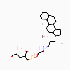 CC(CCNC(=O)CCP(=O)(O)CC(CCC(=O)O)C(=O)O)[C@H]1CCC2C3CCC4C[C@H](O)CC[C@]4(C)C3C[C@H](O)[C@@]21C